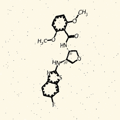 COc1cccc(OC)c1C(=O)N[C@@H]1COC[C@H]1Nc1nc2ccc(F)cc2s1